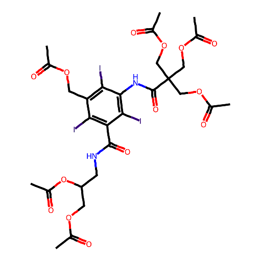 CC(=O)OCc1c(I)c(NC(=O)C(COC(C)=O)(COC(C)=O)COC(C)=O)c(I)c(C(=O)NCC(COC(C)=O)OC(C)=O)c1I